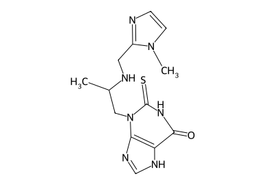 CC(Cn1c(=S)[nH]c(=O)c2[nH]cnc21)NCc1nccn1C